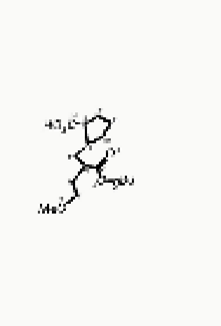 CCCCOC(=O)C(CCOC)C[C@@H]1CCC[C@H]1C(=O)O